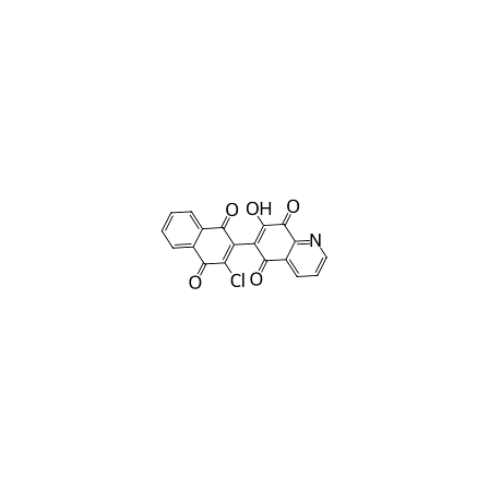 O=C1C(Cl)=C(C2=C(O)C(=O)c3ncccc3C2=O)C(=O)c2ccccc21